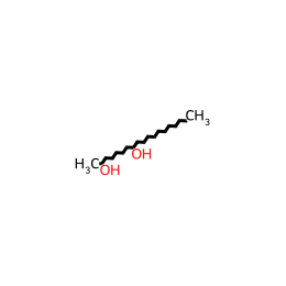 CCCCCCCCCCCC(O)CCCCCC(C)O